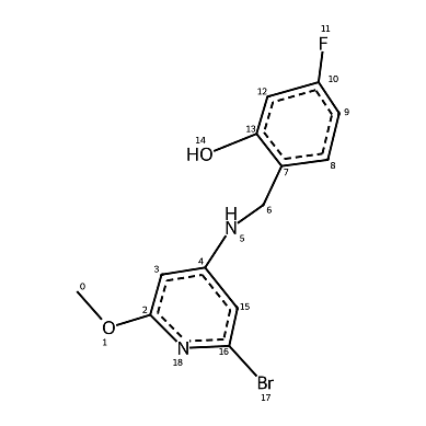 COc1cc(NCc2ccc(F)cc2O)cc(Br)n1